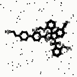 CCCN1CCN(C2CCN(C(=O)OC3(c4ccccc4OCC)C(=O)N(S(=O)(=O)c4ccccc4OC)c4ccc(C#N)cc43)CC2)CC1